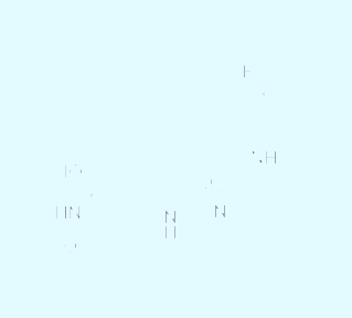 O=C1Cc2c(CCNCCN(C(=O)CCNCCc3cccc(F)c3)C3CCCCC3)ccc(O)c2N1